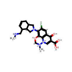 CNCC1C=CCC2CN(c3c(F)cc4c(=O)c(C(=O)O)cn5c4c3OCN5C)CC12